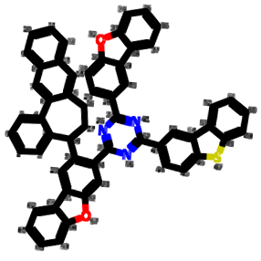 c1ccc2c(c1)-c1cc3ccccc3cc1CCC2c1cc2c(cc1-c1nc(-c3ccc4oc5ccccc5c4c3)nc(-c3ccc4sc5ccccc5c4c3)n1)oc1ccccc12